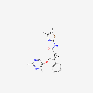 Cc1ncc(OC[C@@]2(c3ccccc3)C[C@H]2C(=O)Nc2nc(C)c(C)s2)c(C)n1